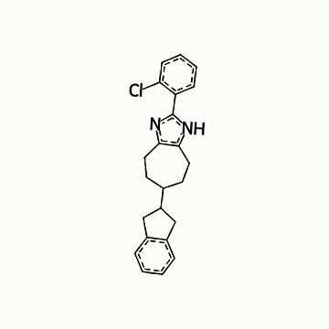 Clc1ccccc1-c1nc2c([nH]1)CCC(C1Cc3ccccc3C1)CC2